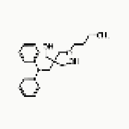 CCCCOCC(CO)(CO)CP(c1ccccc1)c1ccccc1